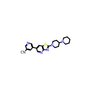 [C-]#[N+]c1cncc(-c2cnc3nc(N4CCC(N5CCCCC5)CC4)sc3c2)c1